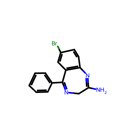 NC1=Nc2ccc(Br)cc2C(c2ccccc2)=NC1